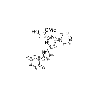 CO[C@H](CO)c1nc(N2CCOCC2)cc(-n2ccc(-c3cc(C)ccc3C)n2)n1